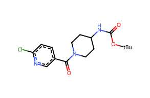 CC(C)(C)OC(=O)NC1CCN(C(=O)c2ccc(Cl)nc2)CC1